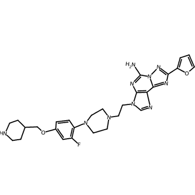 Nc1nc2c(ncn2CCN2CCN(c3ccc(OCC4CCNCC4)cc3F)CC2)c2nc(-c3ccco3)nn12